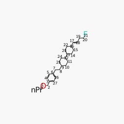 CCCOCc1ccc(CCC2CCC(C3CCC(C=CCCF)CC3)CC2)cc1